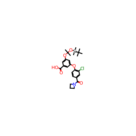 CC(C)(Oc1cc(Oc2ccc(C(=O)N3CCC3)cc2Cl)cc(C(=O)O)c1)O[Si](C)(C)C(C)(C)C